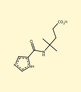 CC(C)(CCC(=O)O)NC(=O)c1cnc[nH]1